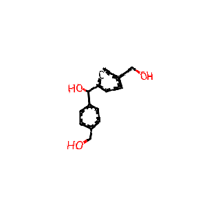 OCc1ccc(C(O)c2ccc(CO)cc2)cc1